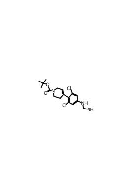 CC(C)(C)OC(=O)N1CC=C(c2c(Cl)cc(NCS)cc2Cl)CC1